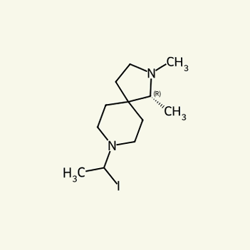 CC(I)N1CCC2(CC1)CCN(C)[C@@H]2C